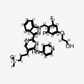 C[S+]([O-])CCCc1cnc(-c2nn(Cc3c(F)cc(OCCO)cc3F)c3ccccc23)nc1Nc1ccncc1